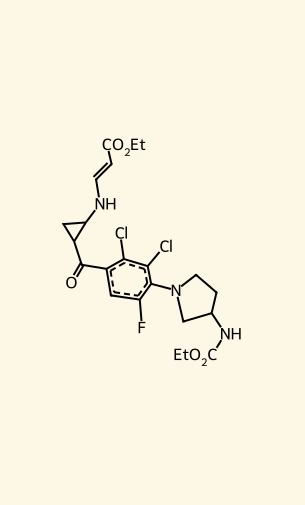 CCOC(=O)C=CNC1CC1C(=O)c1cc(F)c(N2CCC(NC(=O)OCC)C2)c(Cl)c1Cl